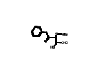 CCCCNC(C(=O)Cc1ccccc1)C(O)C=O